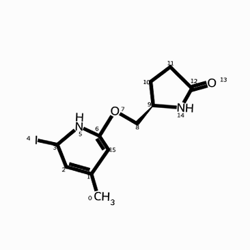 CC1=CC(I)NC(OC[C@H]2CCC(=O)N2)=C1